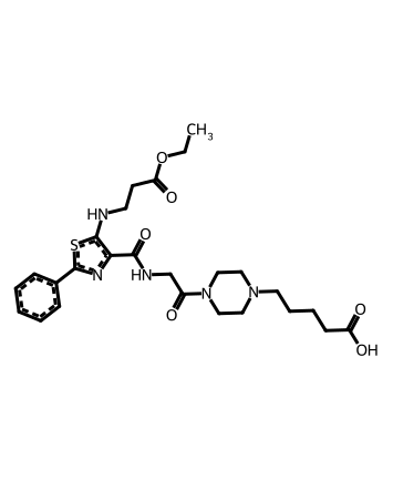 CCOC(=O)CCNc1sc(-c2ccccc2)nc1C(=O)NCC(=O)N1CCN(CCCCC(=O)O)CC1